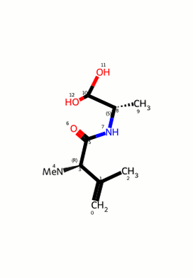 C=C(C)[C@@H](NC)C(=O)N[C@@H](C)C(O)O